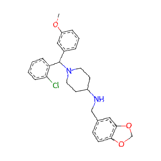 COc1cccc(C(c2ccccc2Cl)N2CCC(NCc3ccc4c(c3)OCO4)CC2)c1